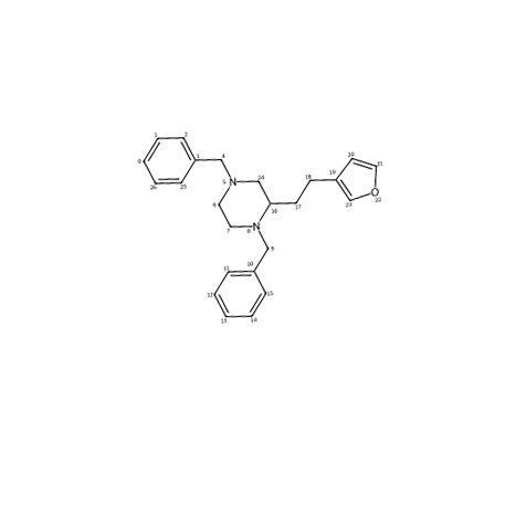 c1ccc(CN2CCN(Cc3ccccc3)C(CCc3ccoc3)C2)cc1